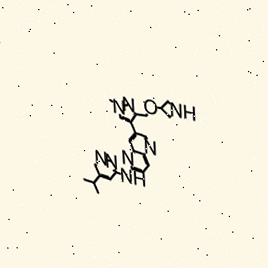 CC(C)c1cnnc(Nc2ccc3ncc(-c4cn(C)nc4COC4CNC4)cc3n2)c1